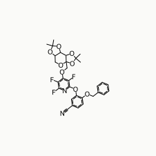 CC1(C)OC2COC3(COc4c(F)c(F)nc(Oc5cc(C#N)ccc5OCc5ccccc5)c4F)OC(C)(C)OC3C2O1